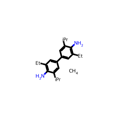 C.CCc1cc(-c2cc(CC)c(N)c(C(C)C)c2)cc(C(C)C)c1N